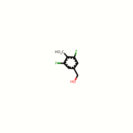 O=C(O)c1c(F)cc(CO)cc1F